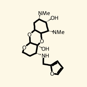 CN[C@H]1CC2OC3OCC[C@@H](NCc4ccco4)[C@]3(O)OC2[C@@H](NC)[C@H]1O